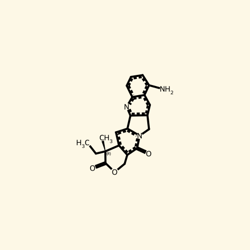 CC[C@@]1(C)C(=O)OCc2c1cc1n(c2=O)Cc2cc3c(N)cccc3nc2-1